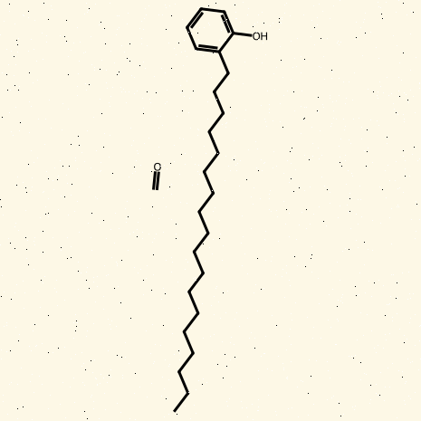 C=O.CCCCCCCCCCCCCCCCCCc1ccccc1O